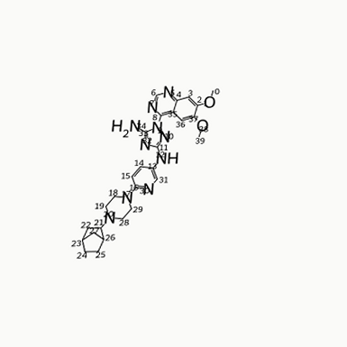 COc1cc2ncnc(-n3nc(Nc4ccc(N5CCN(C6CC7CCC6C7)CC5)nc4)nc3N)c2cc1OC